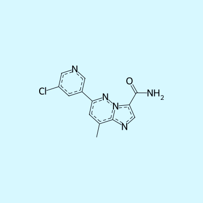 Cc1cc(-c2cncc(Cl)c2)nn2c(C(N)=O)cnc12